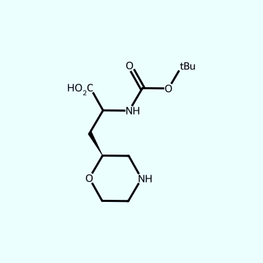 CC(C)(C)OC(=O)NC(C[C@H]1CNCCO1)C(=O)O